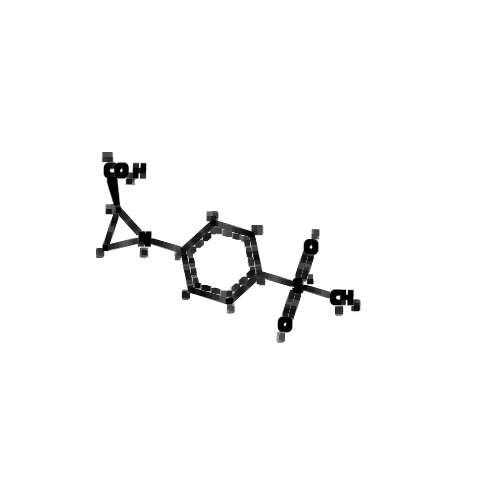 CS(=O)(=O)c1ccc(N2C[C@H]2C(=O)O)cc1